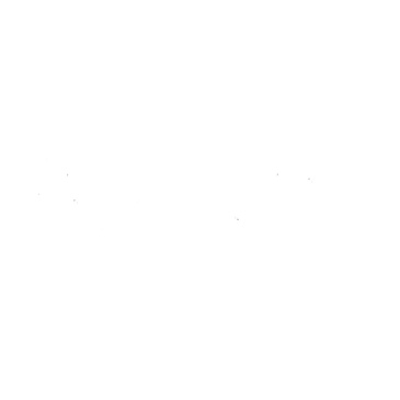 CC(C)(C)NS(=O)(=O)c1ccc(-c2cc(C(=O)NC3CCOCC3)c(Cl)n2CC2CCCCC2)c2ccccc12